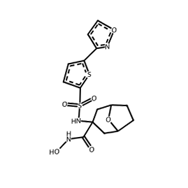 O=C(NO)C1(NS(=O)(=O)c2ccc(-c3ccon3)s2)CC2CCC(C1)O2